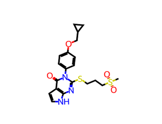 CS(=O)(=O)CCCSc1nc2[nH]ccc2c(=O)n1-c1ccc(OCC2CC2)cc1